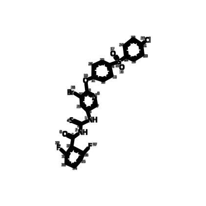 O=C(NC(=S)Nc1cnc(Oc2ccc(S(=O)(=O)c3ccc(Cl)cc3)cc2)c(Br)c1)c1c(F)cccc1F